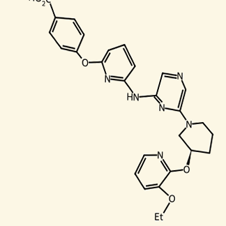 CCOc1cccnc1O[C@@H]1CCCN(c2cncc(Nc3cccc(Oc4ccc(C(=O)O)cc4)n3)n2)C1